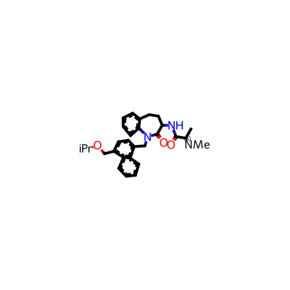 CN[C@@H](C)C(=O)NC1CCc2ccccc2N(Cc2ccc(COC(C)C)c3ccccc23)C1=O